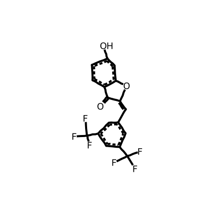 O=C1C(=Cc2cc(C(F)(F)F)cc(C(F)(F)F)c2)Oc2cc(O)ccc21